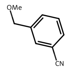 [CH2]OCc1cccc(C#N)c1